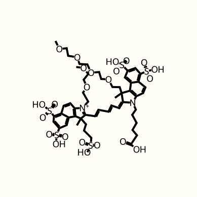 COCCOCCOCCOCCC1(C)\C(=C/C=C/C=C/C2=[N+](CCOCCOC)c3ccc4c(S(=O)(=O)O)cc(S(=O)(=O)O)cc4c3C2(C)CCCS(=O)(=O)O)N(CCCCCC(=O)O)c2ccc3c(S(=O)(=O)O)cc(S(=O)(=O)O)cc3c21